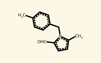 Cc1ccc(Cn2c(C)ccc2C=O)cc1